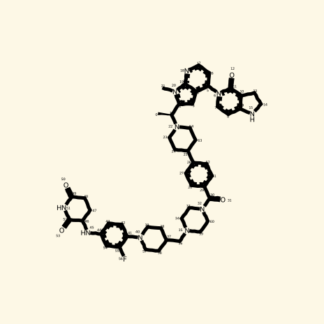 C[C@@H](c1cc2c(-n3ccc4c(c3=O)CCN4)ccnc2n1C)N1CCC(c2ccc(C(=O)N3CCN(CC4CCN(c5ccc(NC6CCC(=O)NC6=O)cc5F)CC4)CC3)cc2)CC1